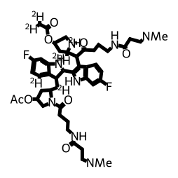 [2H]c1cc(F)cc2c1C(C([2H])C1CC(OC(C)=O)CN1C(=O)CCCNC(=O)CCNC)C(c1[nH]c3cc(F)ccc3c1C(C(=O)CCCNC(=O)CCNC)C1([2H])CC(OC(=O)C([2H])[2H])CN1[2H])N2[2H]